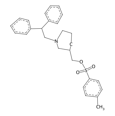 Cc1ccc(S(=O)(=O)OCC2CCCN(CC(c3ccccc3)c3ccccc3)C2)cc1